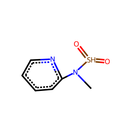 CN(c1ccccn1)[SH](=O)=O